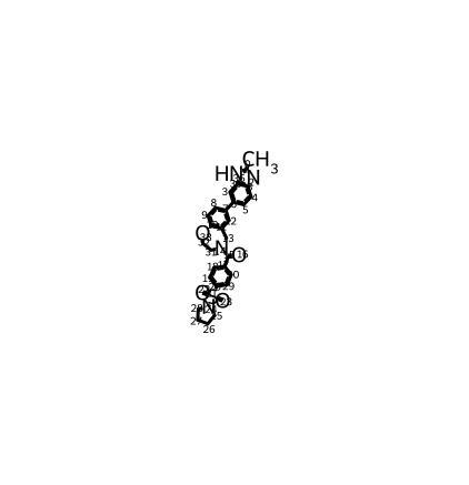 Cc1nc2ccc(-c3ccc4c(c3)CN(C(=O)c3ccc(S(=O)(=O)N5CCCC5)cc3)CCO4)cc2[nH]1